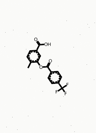 Cc1ccc(C(=O)O)cc1OC(=O)c1ccc(C(F)(F)F)cc1